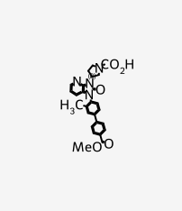 COC(=O)c1ccc(-c2ccc(-n3c(=O)n([C@@H]4CCN(C(=O)O)C4)c4ncccc43)c(C)c2)cc1